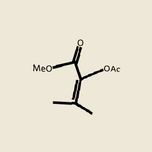 COC(=O)C(OC(C)=O)=C(C)C